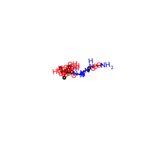 CC1CC(C(=O)NCCCc2cn(CCCn3ccc4cc(NC(=O)COCCOCCN)ccc43)nn2)C[C@@H](O[C@@H]2OC(CO)[C@H](O)C(O[C@@H](CC3CCCCC3)C(=O)O)C2OC(=O)c2ccccc2)C1O[C@@H]1OC(C)[C@@H](O)C(O)C1O